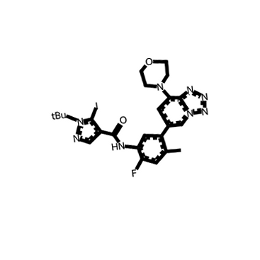 Cc1cc(F)c(NC(=O)c2cnn(C(C)(C)C)c2I)cc1-c1cc(N2CCOCC2)c2nnnn2c1